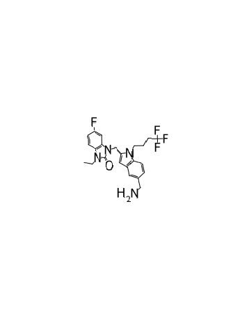 CCn1c(=O)n(Cc2cc3cc(CN)ccc3n2CCCC(F)(F)F)c2cc(F)ccc21